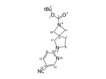 CC(C)(C)OC(=O)N1CC2(CCN(c3ccc(C#N)cn3)C2)C1